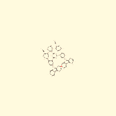 N#Cc1ccc(-c2ccc(-n3c4ccccc4c4ccccc43)cc2-c2nc(-c3ccccc3)nc(-c3cc(-n4c5ccccc5c5ccccc54)ccc3-c3ccc(C#N)cc3)n2)cc1